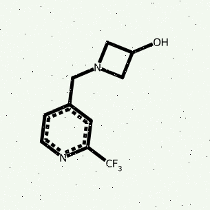 OC1CN(Cc2ccnc(C(F)(F)F)c2)C1